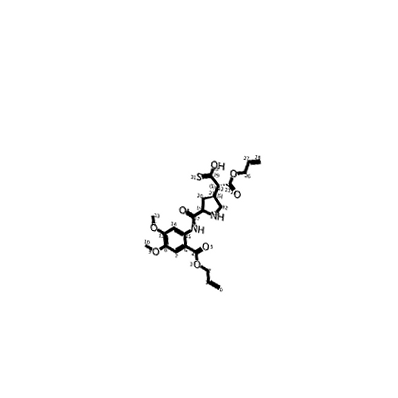 C=CCOC(=O)c1cc(OC)c(OC)cc1NC(=O)C1C[C@@H]([C@@H](C(=O)OCC=C)C(O)=S)CN1